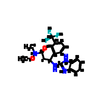 CON(C)C(=O)CC(Nc1nc2ccccc2[nH]1)c1cccc(C(F)(F)F)c1